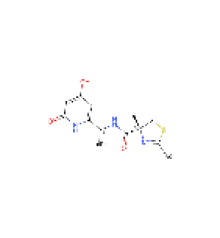 CCC[C@@H](NC(=O)[C@]1(C)CSC(C(C)=O)=N1)c1cc(O)cc(=O)[nH]1